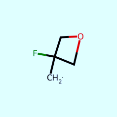 [CH2]C1(F)COC1